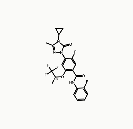 Cc1nn(-c2cc(O[C@@H](C)C(F)(F)F)c(C(=O)Nc3ccccc3F)cc2F)c(=O)n1C1CC1